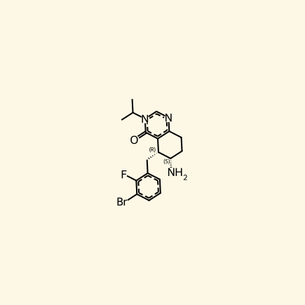 CC(C)n1cnc2c(c1=O)[C@@H](Cc1cccc(Br)c1F)[C@@H](N)CC2